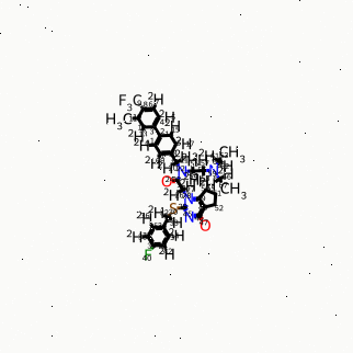 [2H]C1=C(C2=C([2H])C([2H])=C(C(F)(F)F)C(C)C2[2H])C([2H])C([2H])C(C([2H])([2H])N(C(=O)C([2H])([2H])n2c(SC([2H])([2H])c3c([2H])c([2H])c(F)c([2H])c3[2H])nc(=O)c3c2CCC3)C([2H])([2H])C([2H])([2H])N(C([2H])([2H])C)C([2H])([2H])C)=C1[2H]